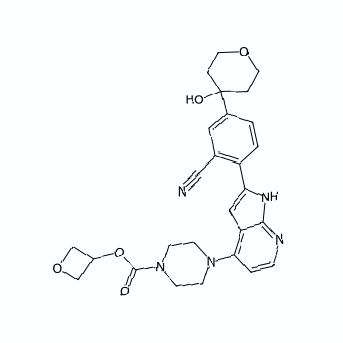 N#Cc1cc(C2(O)CCOCC2)ccc1-c1cc2c(N3CCN(C(=O)OC4COC4)CC3)ccnc2[nH]1